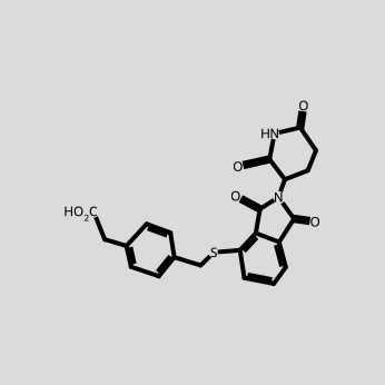 O=C(O)Cc1ccc(CSc2cccc3c2C(=O)N(C2CCC(=O)NC2=O)C3=O)cc1